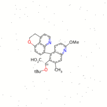 COc1ccc2c(-c3ccc4c5c(ccnc35)CCO4)c([C@H](OC(C)(C)C)C(=O)O)c(C)cc2n1